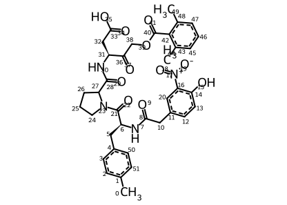 Cc1ccc(C[C@H](NC(=O)Cc2ccc(O)c([N+](=O)[O-])c2)C(=O)N2CCCC2C(=O)N[C@@H](CC(=O)O)C(=O)COC(=O)c2c(C)cccc2C)cc1